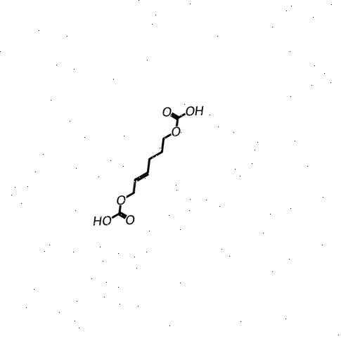 O=C(O)OCC=CCCCOC(=O)O